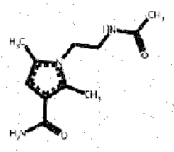 CC(=O)NCCn1c(C)cc(C(N)=O)c1C